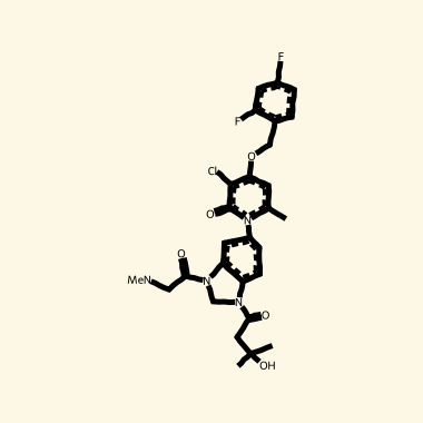 CNCC(=O)N1CN(C(=O)CC(C)(C)O)c2ccc(-n3c(C)cc(OCc4ccc(F)cc4F)c(Cl)c3=O)cc21